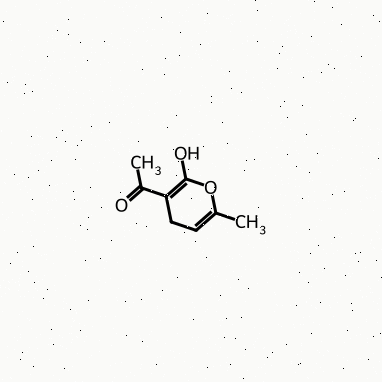 CC(=O)C1=C(O)OC(C)=CC1